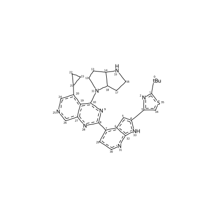 CC(C)(C)c1nc(-c2cc3c(-c4nc(N5CCC6NCCC65)c5c(C6CC6)cncc5n4)ccnc3[nH]2)cs1